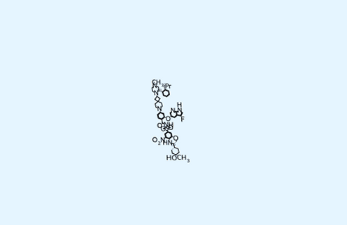 CC(C)c1ccccc1[C@H]1CN(C)CCN1C1CC2(CCN(c3ccc(C(=O)NS(=O)(=O)c4cc5c(c([N+](=O)[O-])c4)N[C@@H]([C@H]4CC[C@](C)(O)CC4)CO5)c(Oc4cnc5[nH]cc(F)c5c4)c3)CC2)C1